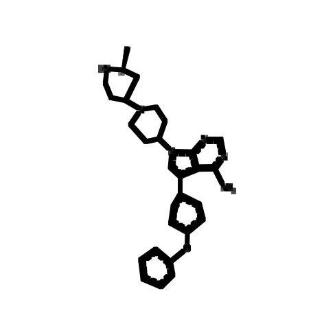 C[C@H]1CC(N2CCC(n3cc(-c4ccc(Oc5ccccc5)cc4)c4c(N)ncnc43)CC2)CCN1